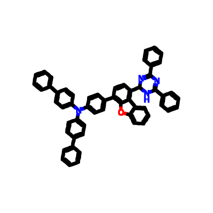 c1ccc(C2=NC(c3ccc(-c4ccc(N(c5ccc(-c6ccccc6)cc5)c5ccc(-c6ccccc6)cc5)cc4)c4oc5ccccc5c34)NC(c3ccccc3)=N2)cc1